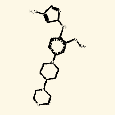 CC(C)Oc1cc(N2CCC(N3CCOCC3)CC2)ccc1NC1C=C(N)C=N1